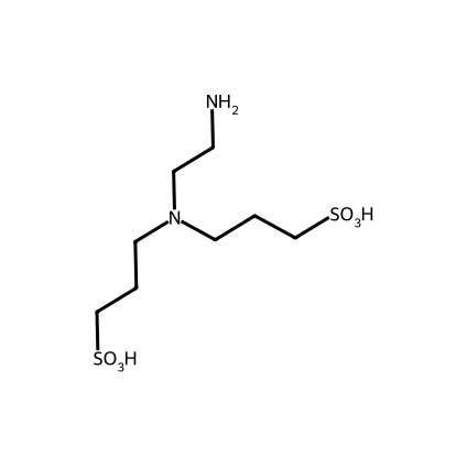 NCCN(CCCS(=O)(=O)O)CCCS(=O)(=O)O